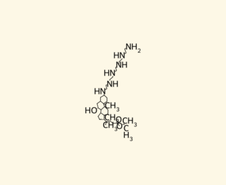 CC(C)OC(=O)CC[C@@H](C)[C@H]1CCC2C3C(CC[C@@]21C)[C@@]1(C)CC[C@H](NCCNCCNCCNCCNCCN)CC1C[C@H]3O